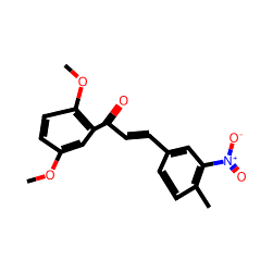 COc1ccc(OC)c(C(=O)C=Cc2ccc(C)c([N+](=O)[O-])c2)c1